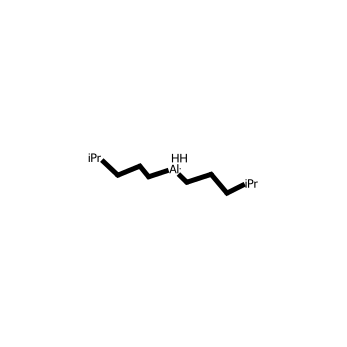 CC(C)CC[CH2][Al][CH2]CCC(C)C.[HH]